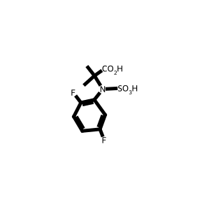 CC(C)(C(=O)O)N(c1cc(F)ccc1F)S(=O)(=O)O